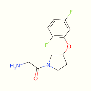 NCC(=O)N1CCC(Oc2cc(F)ccc2F)C1